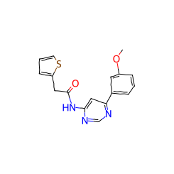 COc1cccc(-c2cc(NC(=O)Cc3cccs3)ncn2)c1